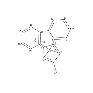 CC1=C2C(C)[C]=C1C2(c1ccccc1)c1ccccc1